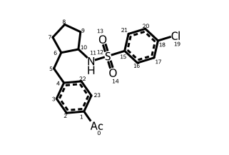 CC(=O)c1ccc(CC2CCCC2NS(=O)(=O)c2ccc(Cl)cc2)cc1